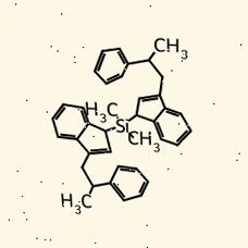 CC(CC1=CC([Si](C)(C)C2C=C(CC(C)c3ccccc3)c3ccccc32)c2ccccc21)c1ccccc1